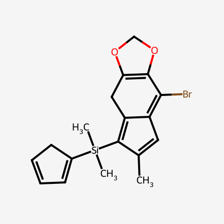 CC1=CC2=C(Br)C3=C(CC2=C1[Si](C)(C)C1=CC=CC1)OCO3